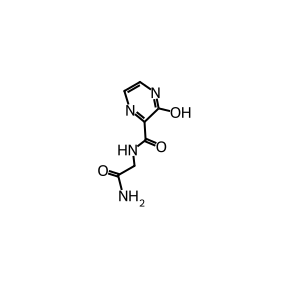 NC(=O)CNC(=O)c1nccnc1O